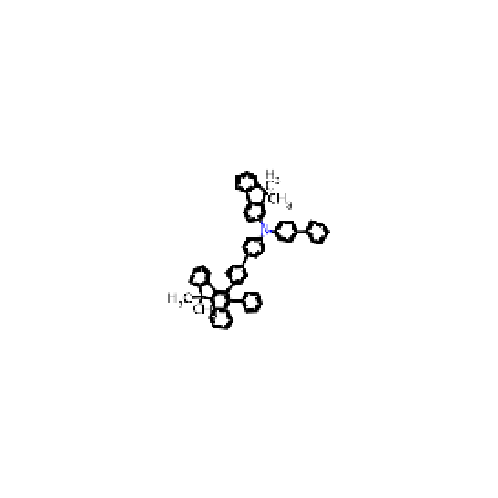 CC1(C)c2ccccc2-c2ccc(N(c3ccc(-c4ccccc4)cc3)c3ccc(-c4ccc(-c5c6c(c7ccccc7c5-c5ccccc5)C(C)(C)c5ccccc5-6)cc4)cc3)cc21